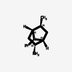 CC(C)N1[C@@H]2C[C@H](C)[C@H]1C[C@H]2N